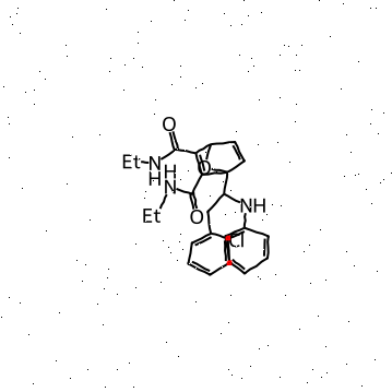 CCNC(=O)C1=C(C(=O)NCC)C2(C(Cc3ccccc3Cl)Nc3ccccc3)C=CC1O2